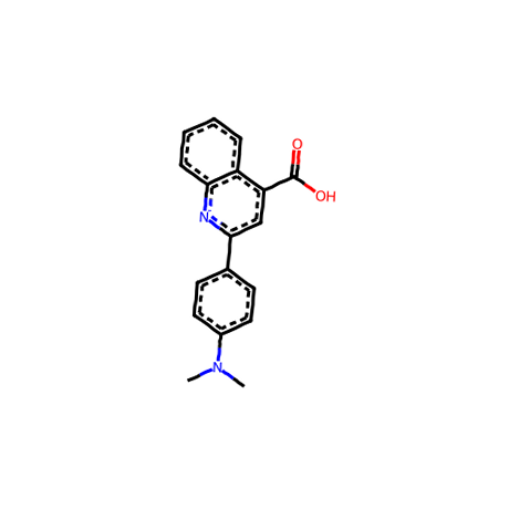 CN(C)c1ccc(-c2cc(C(=O)O)c3ccccc3n2)cc1